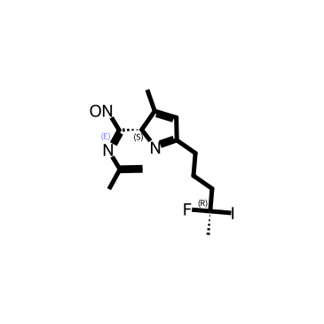 C=C(C)/N=C(/N=O)[C@H]1N=C(CCC[C@](C)(F)I)C=C1C